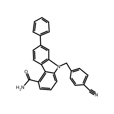 N#Cc1ccc(Cn2c3cc(-c4ccccc4)c[c]c3c3c(C(N)=O)cccc32)cc1